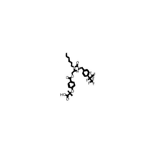 CCCCCCn1c(COC(=O)c2ccc(OC(C)(C)C(=O)O)cc2)nn(Cc2ccc(C(F)(C(F)(F)F)C(F)(F)F)cc2)c1=O